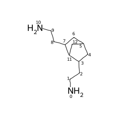 NCCC1CC2CC(CCN)C1C2